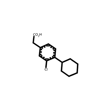 O=C(O)Cc1ccc(C2CCCCC2)c(Cl)c1